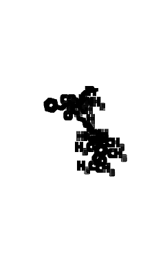 Cc1c(C)c(S(=O)(=O)NC(=N)NCCC[C@H](NC(=O)[C@@H](N)CC(C)C)C(=O)N[C@@H](Cc2ccccc2)C(=O)O)c(C)c2c1OC(C)(C)C2